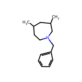 CC1CCN(Cc2ccccc2)CC(C)C1